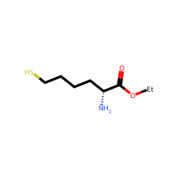 CCOC(=O)[C@H](N)CCCCS